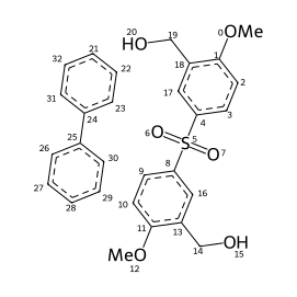 COc1ccc(S(=O)(=O)c2ccc(OC)c(CO)c2)cc1CO.c1ccc(-c2ccccc2)cc1